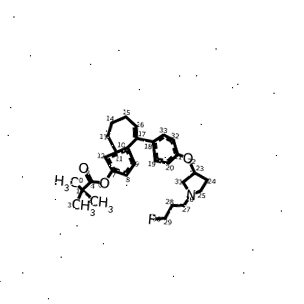 CC(C)(C)C(=O)Oc1ccc2c(c1)CCCC=C2c1ccc(OC2CCN(CCCF)C2)cc1